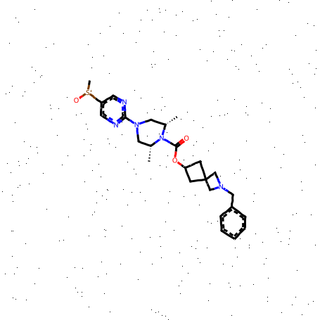 C[C@@H]1CN(c2ncc([S+](C)[O-])cn2)C[C@H](C)N1C(=O)OC1CC2(C1)CN(Cc1ccccc1)C2